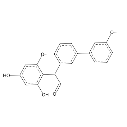 COc1cccc(-c2ccc3c(c2)C(C=O)c2c(O)cc(O)cc2O3)c1